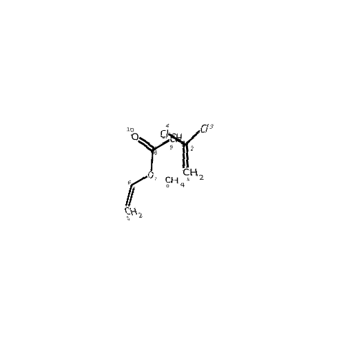 C.C=C(Cl)Cl.C=COC(C)=O